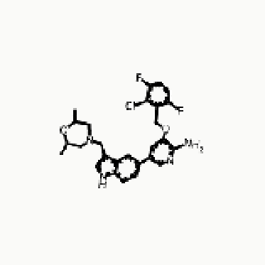 CC1CN(Cc2c[nH]c3ccc(-c4cnc(N)c(OCc5c(F)ccc(F)c5Cl)c4)cc23)CC(C)O1